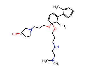 Cc1ccccc1C1=CC=CC(OCCCNCCN(C)C)(OCCCN2CC[C@@H](O)C2)C1C